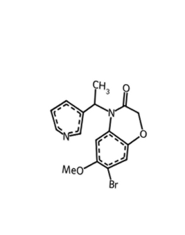 COc1cc2c(cc1Br)OCC(=O)N2C(C)c1cccnc1